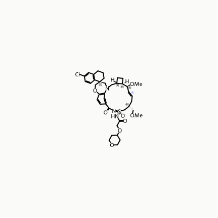 COC[C@H]1C/C=C/[C@H](OC)[C@@H]2CC[C@H]2CN2C[C@@]3(CCCc4cc(Cl)ccc43)COc3ccc(cc32)C(=O)N=[S@@](=O)(NC(=O)COC2CCOCC2)C1